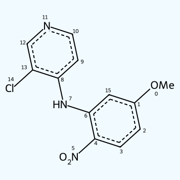 COc1ccc([N+](=O)[O-])c(Nc2ccncc2Cl)c1